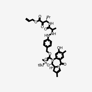 C=CCOC(=O)C(=O)[C@@H](NC(=O)C(C)NNc1ccc(COC(=O)N2c3cc(O)c(C)cc3C(=O)N3C=C(C)C[C@H]3[C@@H]2O[Si](C)(C)C(C)(C)C)cc1)C(C)C